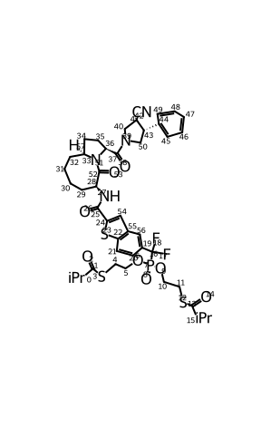 CC(C)C(=O)SCCOP(=O)(OCCSC(=O)C(C)C)C(F)(F)c1ccc2sc(C(=O)N[C@H]3CCCC[C@H]4CC[C@@H](C(=O)N5C[C@@H](C#N)[C@H](c6ccccc6)C5)N4C3=O)cc2c1